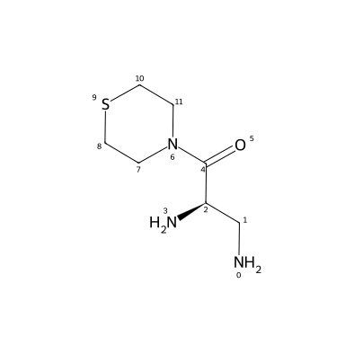 NC[C@@H](N)C(=O)N1CCSCC1